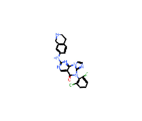 O=c1c2cnc(Nc3ccc4c(c3)CNCC4)nc2n2ccnc2n1-c1c(Cl)cccc1Cl